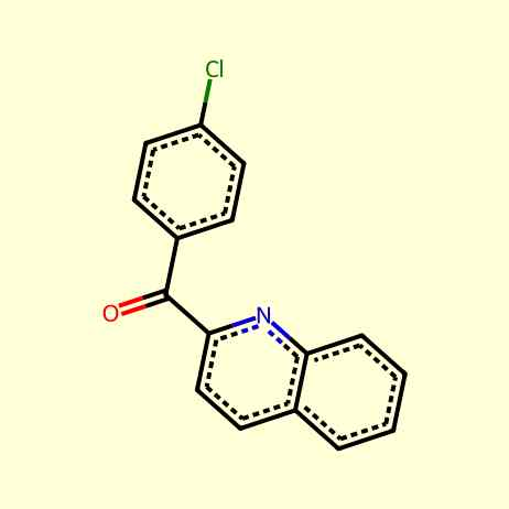 O=C(c1ccc(Cl)cc1)c1ccc2ccccc2n1